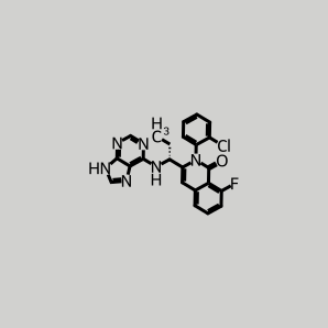 CC[C@@H](Nc1ncnc2[nH]cnc12)c1cc2cccc(F)c2c(=O)n1-c1ccccc1Cl